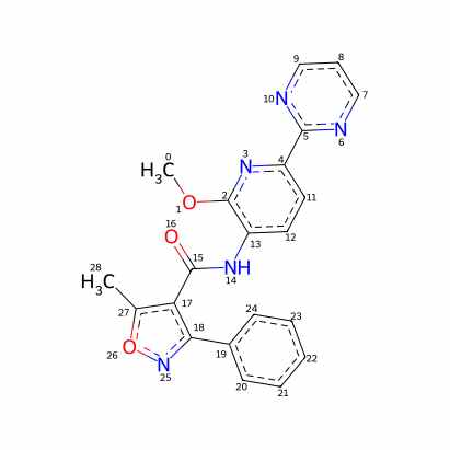 COc1nc(-c2ncccn2)ccc1NC(=O)c1c(-c2ccccc2)noc1C